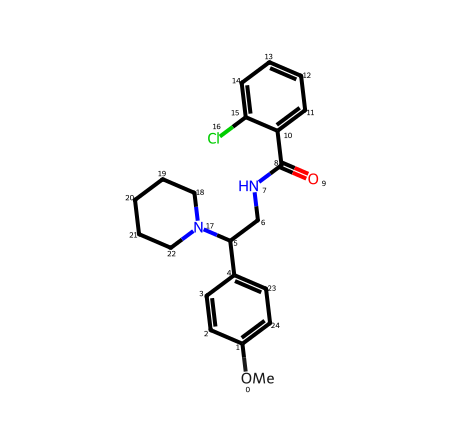 COc1ccc(C(CNC(=O)c2ccccc2Cl)N2CCCCC2)cc1